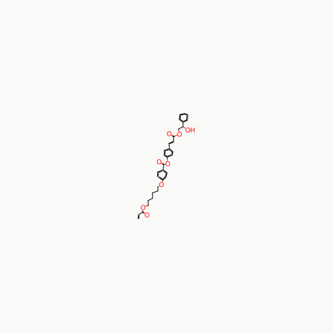 C=CC(=O)OCCCCCCOc1ccc(C(=O)Oc2ccc(/C=C/C(=O)OC[C@H](O)c3ccccc3)cc2)cc1